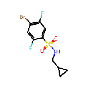 O=S(=O)(NCC1CC1)c1cc(F)c(Br)cc1F